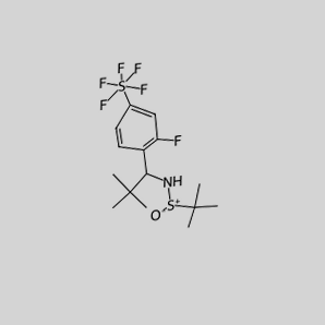 CC(C)(C)C(N[S+]([O-])C(C)(C)C)c1ccc(S(F)(F)(F)(F)F)cc1F